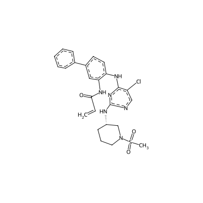 C=CC(=O)Nc1cc(-c2ccccc2)ccc1Nc1nc(N[C@H]2CCCN(S(C)(=O)=O)C2)ncc1Cl